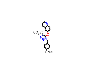 CCOC(=O)c1nnn(Cc2ccc(OC)cc2)c1Oc1ccc2ncccc2c1